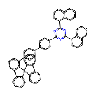 c1ccc2c(c1)-c1ccccc1C21c2ccccc2-c2cccc(-c3ccc(-c4ccc(-c5nc(-c6cccc7ccccc67)nc(-c6cccc7ccccc67)n5)cc4)cc3)c21